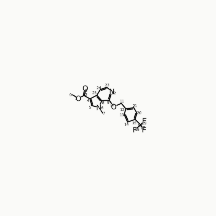 COC(=O)c1cn(C)c2c(OCc3ccc(C(F)(F)F)cc3)nccc12